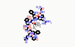 CC(C)(C)OC[C@@H](NC(=O)[C@H](Cc1ccc(O)cc1)NC(=O)[C@H](CO)NC(=O)[C@H](Cc1c[nH]c2ccccc12)NC(=O)[C@H](Cc1c[nH]cn1)NC(=O)[C@@H]1CCC(=O)N1)C(=O)N[C@@H](Cc1c[nH]c2ccccc12)C(=O)N[C@@H](CCCNC(=N)N)C(=O)N1CCC[C@H]1C(=O)NCC(N)=O